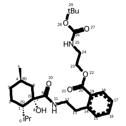 CC(C)[C@@H]1CC[C@@H](C)C[C@@]1(O)C(=O)NCCc1ccccc1C(=O)OCCNC(=O)OC(C)(C)C